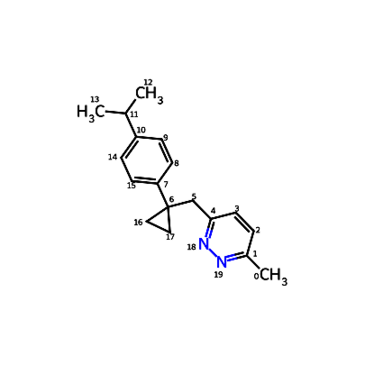 Cc1ccc(CC2(c3ccc(C(C)C)cc3)CC2)nn1